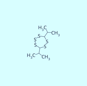 CC(C)C1SSSC(C(C)C)SS1